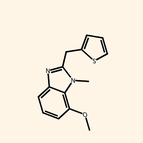 COc1cccc2nc(Cc3cccs3)n(C)c12